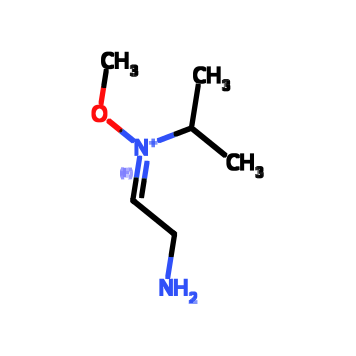 CO/[N+](=C/CN)C(C)C